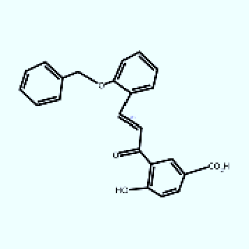 O=C(O)c1ccc(O)c(C(=O)/C=C/c2ccccc2OCc2ccccc2)c1